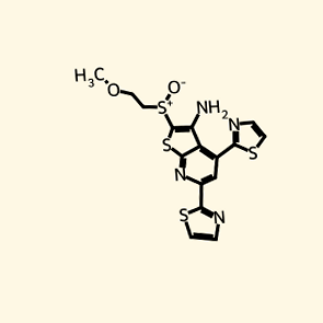 COCC[S+]([O-])c1sc2nc(-c3nccs3)cc(-c3nccs3)c2c1N